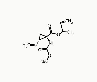 C=CC(C)OC(=O)[C@@]1(NC(=O)OC(C)(C)C)C[C@H]1C=C